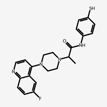 CC(C(=O)Nc1ccc(S)cc1)N1CCN(c2ccnc3ccc(F)cc23)CC1